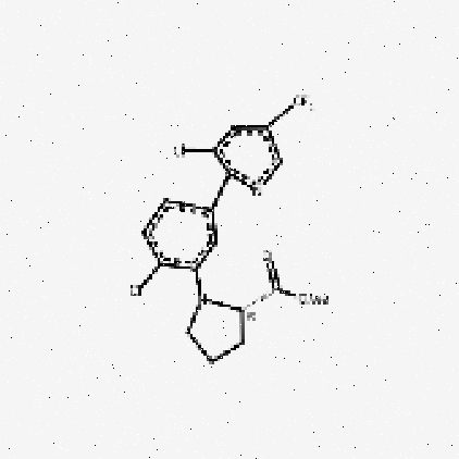 COC(=O)[C@@H]1CCCN1c1cc(-c2ncc(C(F)(F)F)cc2Cl)ccc1Cl